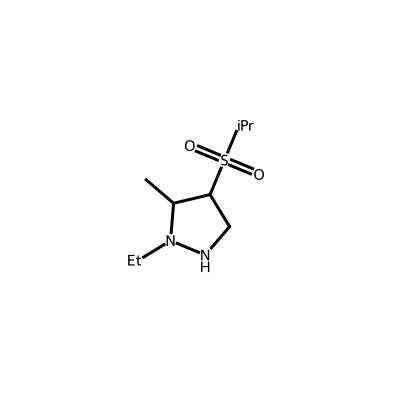 CCN1NCC(S(=O)(=O)C(C)C)C1C